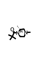 C[C@@H]1CN(C)CCN1C(=O)C(C)(C)C